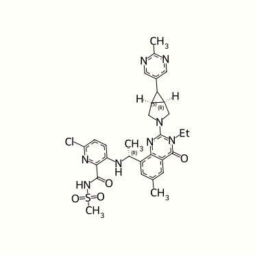 CCn1c(N2C[C@@H]3C(c4cnc(C)nc4)[C@@H]3C2)nc2c([C@@H](C)Nc3ccc(Cl)nc3C(=O)NS(C)(=O)=O)cc(C)cc2c1=O